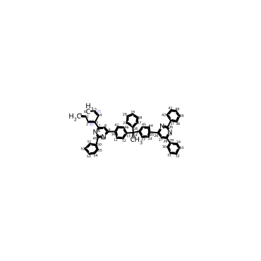 C=C/C=C(\C=C/C)c1cc(-c2ccc(C(C)(c3ccccc3)c3ccc(-c4cc(-c5ccccc5)nc(-c5ccccc5)n4)cc3)cc2)nc(-c2ccccc2)n1